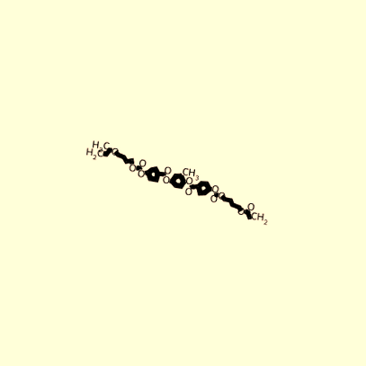 C=CC(=C)OCCCCOC(=O)Oc1ccc(C(=O)Oc2ccc(OC(=O)c3ccc(OC(=O)OCCCCOC(=O)C=C)cc3)c(C)c2)cc1